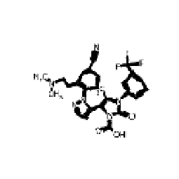 Cc1c(-c2ccnn2-c2ccc(C#N)cc2CCN(C)C)n(C(=O)O)c(=O)n1-c1cccc(C(F)(F)F)c1